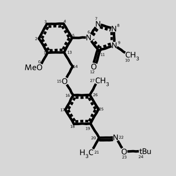 COc1cccc(-n2nnn(C)c2=O)c1COc1ccc(C(C)=NOC(C)(C)C)cc1C